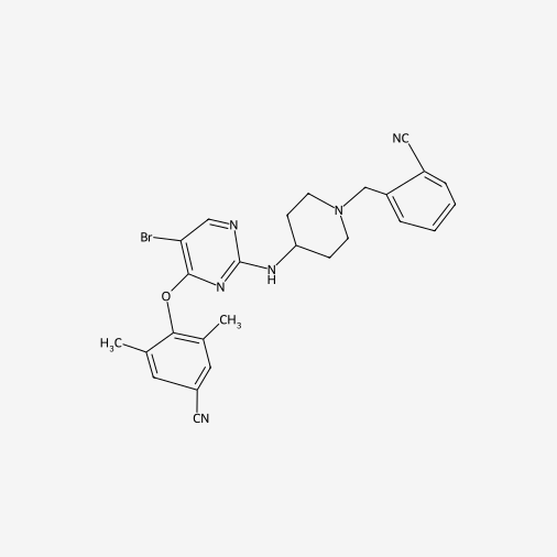 Cc1cc(C#N)cc(C)c1Oc1nc(NC2CCN(Cc3ccccc3C#N)CC2)ncc1Br